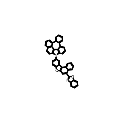 c1ccc2c(c1)-c1cccc3ccc4c(c13)c1c-2cccc1n4-c1ccc2oc3cc(-c4nc5ccccc5o4)c4ccccc4c3c2c1